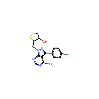 Nc1ncnc2c1c(-c1ccc(Cl)cc1)nn2CC1SSCC1O